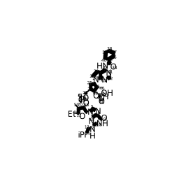 CC[C@H]1O[C@@H](n2cnc3c(=O)[nH]c(NCC(C)C)nc32)[C@H](OP(C)(=S)OC[C@H]2C[C@@H](n3ccc4c(NC(=O)c5ccccc5)ncnc43)[C@H](C)[C@@H]2O[PH](=O)O)[C@@H]1C